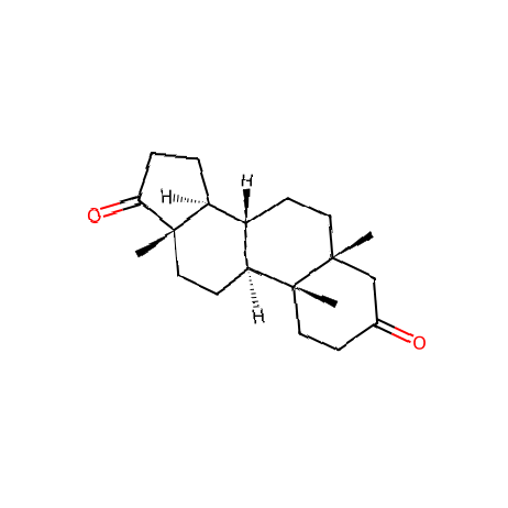 C[C@]12CC[C@H]3[C@@H]4CCC(=O)[C@@]4(C)CC[C@@H]3[C@@]1(C)CCC(=O)C2